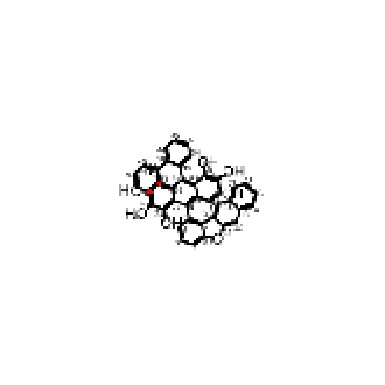 Oc1cc2c(-c3cccc4oc5cc6ccccc6cc5c34)c3c(O)c(O)c(O)c(O)c3c(-c3ccccc3-c3ccccc3)c2c(O)c1O